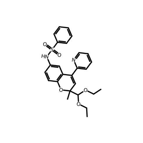 CCOC(OCC)C1(C)C=C(c2ccccn2)c2cc(NS(=O)(=O)c3ccccc3)ccc2O1